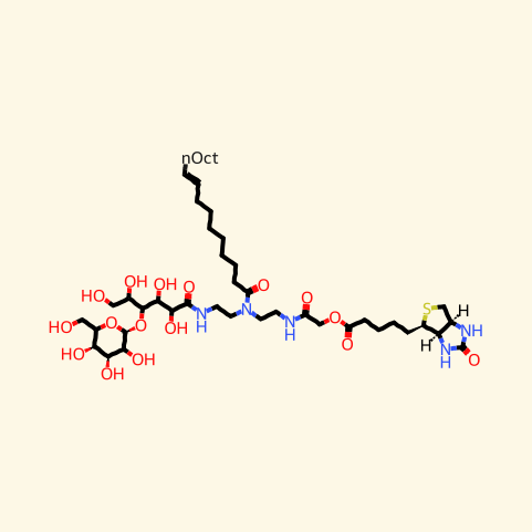 CCCCCCCC/C=C/CCCCCCCC(=O)N(CCNC(=O)COC(=O)CCCC[C@H]1SC[C@H]2NC(=O)N[C@H]21)CCNC(=O)C(O)C(O)C(O[C@@H]1OC(CO)[C@H](O)[C@H](O)C1O)C(O)CO